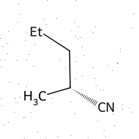 CCC[C@@H](C)C#N